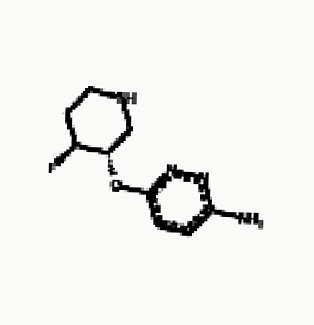 Nc1ccc(O[C@H]2CNCC[C@@H]2F)nn1